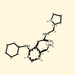 C=C(/C=c1/c(NC2CCCCC2)ncn/c1=C/N)NC[C@@H]1CCCO1